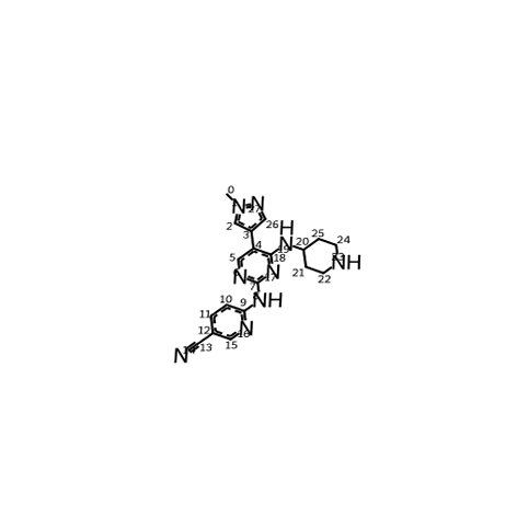 Cn1cc(-c2cnc(Nc3ccc(C#N)cn3)nc2NC2CCNCC2)cn1